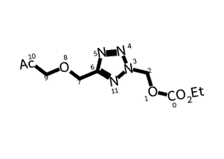 CCOC(=O)OCn1nnc(COCC(C)=O)n1